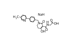 Cc1ccc(-c2ccc(CN3CCC(O)=C(C(=O)NCC(=O)O)C3=O)cc2)nc1.[NaH]